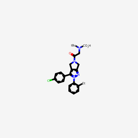 CCc1ccccc1-n1nc2c(c1-c1ccc(Cl)cc1)CN(C(=O)CN(C(=O)O)C(C)(C)C)C2